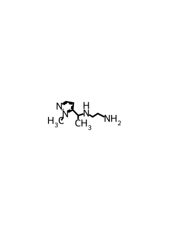 CC(NCCN)c1ccnn1C